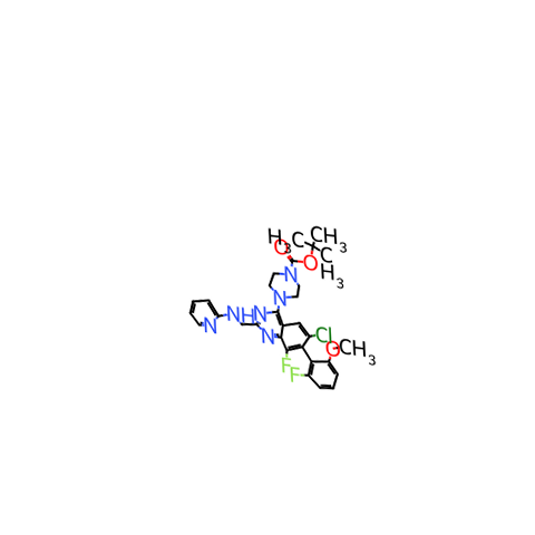 COc1cccc(F)c1-c1c(Cl)cc2c(N3CCN(C(=O)OC(C)(C)C)CC3)nc(CNc3ccccn3)nc2c1F